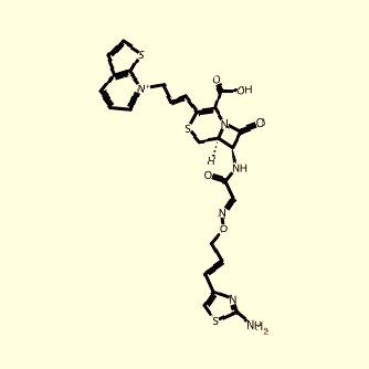 Nc1nc(C=CCON=CC(=O)N[C@@H]2C(=O)N3C(C(=O)O)=C(/C=C/C[n+]4cccc5ccsc54)SC[C@H]23)cs1